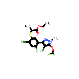 CCOC(=O)C(C)Sc1cc(-c2nn(C)c(OC(F)F)c2Cl)c(Cl)cc1Cl